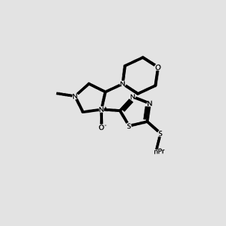 CCCSc1nnc([N+]2([O-])CN(C)CC2N2CCOCC2)s1